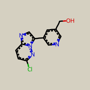 OCc1cncc(-c2cnc3ccc(Cl)nn23)c1